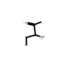 [CH2]CC(O)C(C)=O